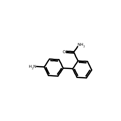 NC(=O)c1ccccc1-c1ccc(N)cc1